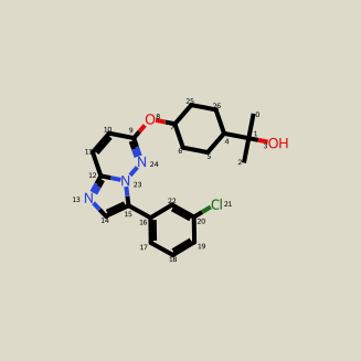 CC(C)(O)C1CCC(Oc2ccc3ncc(-c4cccc(Cl)c4)n3n2)CC1